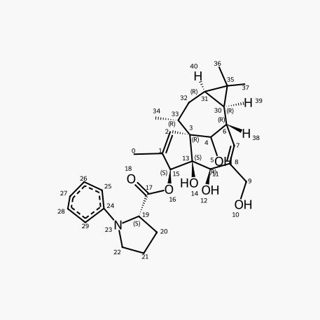 CC1=C[C@]23C(O)[C@@H](C=C(CO)[C@@H](O)[C@]2(O)[C@H]1OC(=O)[C@@H]1CCCN1c1ccccc1)[C@H]1[C@@H](C[C@H]3C)C1(C)C